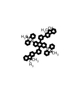 CN1c2ccccc2N(c2ccc3c(-c4cccc(-c5ccc6c(c5)C(C)(C)c5ccccc5-6)c4)c4cc(N5c6ccccc6N(C)c6ccccc65)ccc4c(-c4cccc(-c5ccc6c(c5)C(C)(C)c5ccccc5-6)c4)c3c2)c2ccccc21